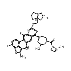 N#Cc1c(N)sc2c(F)ccc(-c3c(Cl)cc4c(N5CCN(C(=O)N6CC[C@H]6C#N)CC(O)C5)nc(OC[C@@]56CCCN5C[C@H](F)C6)nc4c3F)c12